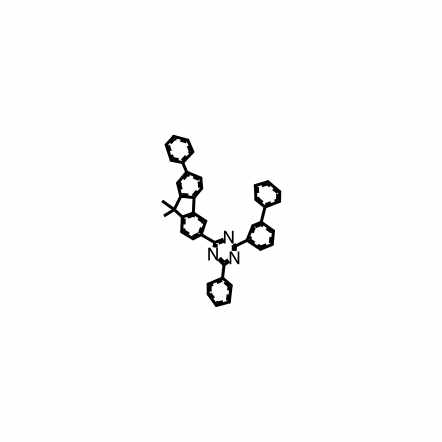 CC1(C)c2ccc(-c3nc(-c4ccccc4)nc(-c4cccc(-c5ccccc5)c4)n3)cc2-c2ccc(-c3ccccc3)cc21